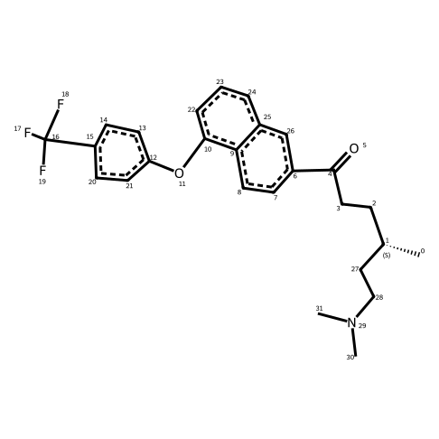 C[C@@H](CCC(=O)c1ccc2c(Oc3ccc(C(F)(F)F)cc3)cccc2c1)CCN(C)C